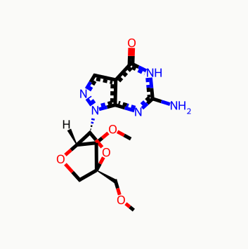 COC[C@@]12CO[C@@H](C1OC)[C@H](n1ncc3c(=O)[nH]c(N)nc31)O2